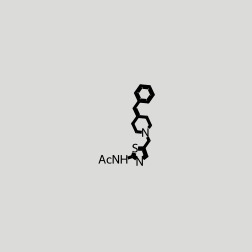 CC(=O)Nc1ncc(CN2CCC(=Cc3ccccc3)CC2)s1